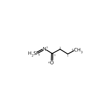 CCCC(=O)N=[SiH2]